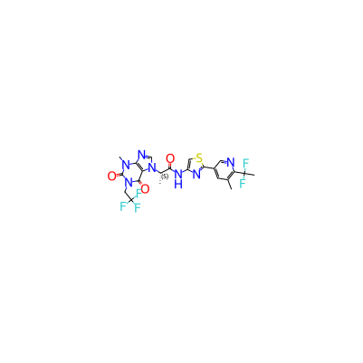 Cc1cc(-c2nc(NC(=O)[C@H](C)n3cnc4c3c(=O)n(CC(F)(F)F)c(=O)n4C)cs2)cnc1C(C)(F)F